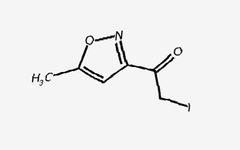 Cc1cc(C(=O)CI)no1